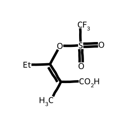 CCC(OS(=O)(=O)C(F)(F)F)=C(C)C(=O)O